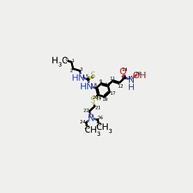 CCCCNC(=S)Nc1cc(C=CC(=O)NO)ccc1SCCN(CC)CC